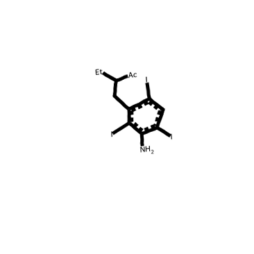 CCC(Cc1c(I)cc(I)c(N)c1I)C(C)=O